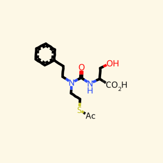 CC(=O)SCCN(CCc1ccccc1)C(=O)NC(CO)C(=O)O